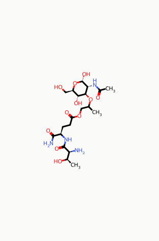 CC(=O)N[C@@H]1[C@@H](OC(C)COC(=O)CC[C@@H](NC(=O)[C@@H](N)[C@@H](C)O)C(N)=O)[C@H](O)[C@@H](CO)O[C@@H]1O